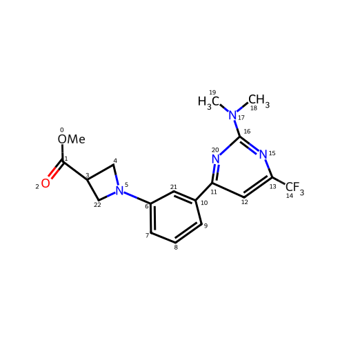 COC(=O)C1CN(c2cccc(-c3cc(C(F)(F)F)nc(N(C)C)n3)c2)C1